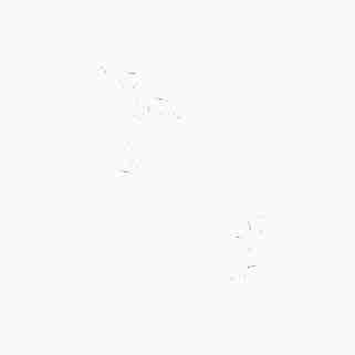 NC(=S)c1cccc(-c2cn(C3CCN(c4nccs4)CC3)c3cc(NC(=O)CCOCCOCCOCCOc4cccc5c4C(=O)N(C4CCC(=O)NC4=O)C5=O)ccc23)c1